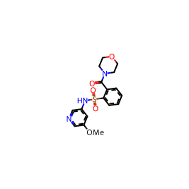 COc1cncc(NS(=O)(=O)c2ccccc2C(=O)N2CCOCC2)c1